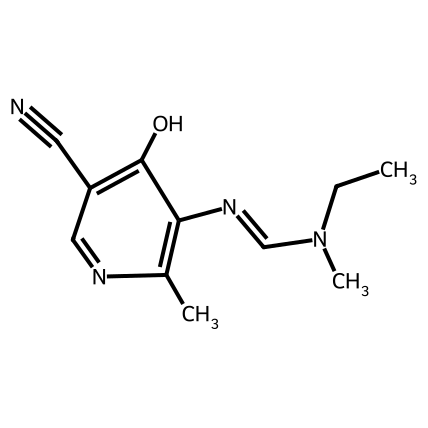 CCN(C)C=Nc1c(C)ncc(C#N)c1O